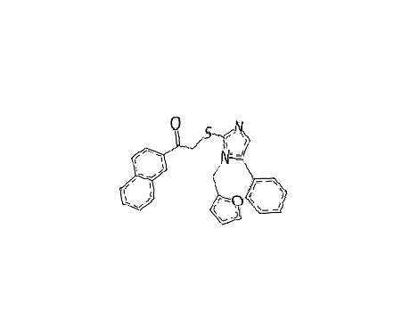 O=C(CSc1ncc(-c2ccccc2)n1Cc1ccco1)c1ccc2ccccc2c1